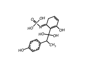 CC(c1ccc(O)cc1)C(O)(O)C1=C(O)C=CCC1=NP(=O)(O)O